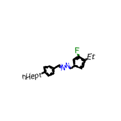 CCCCCCCc1ccc(/C=N/N=C/c2ccc(CC)c(F)c2)cc1